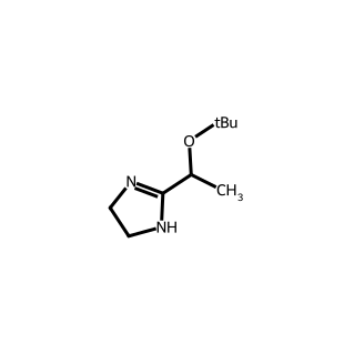 CC(OC(C)(C)C)C1=NCCN1